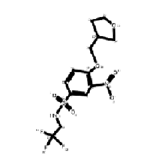 O=[N+]([O-])c1cc(S(=O)(=O)NCC(F)(F)F)ccc1OCC1CCOC1